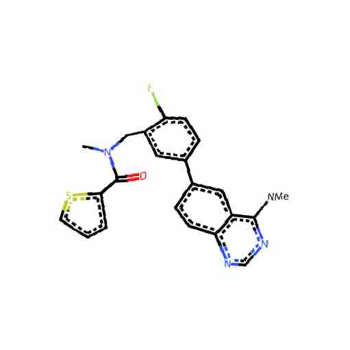 CNc1ncnc2ccc(-c3ccc(F)c(CN(C)C(=O)c4cccs4)c3)cc12